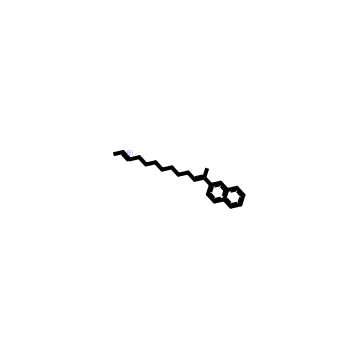 C/C=C/CCCCCCCC=C(C)c1ccc2ccccc2c1